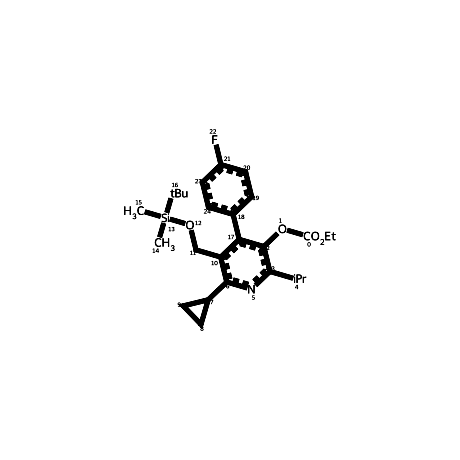 CCOC(=O)Oc1c(C(C)C)nc(C2CC2)c(CO[Si](C)(C)C(C)(C)C)c1-c1ccc(F)cc1